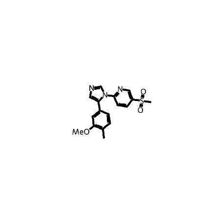 COc1cc(-c2cncn2-c2ccc(S(C)(=O)=O)cn2)ccc1C